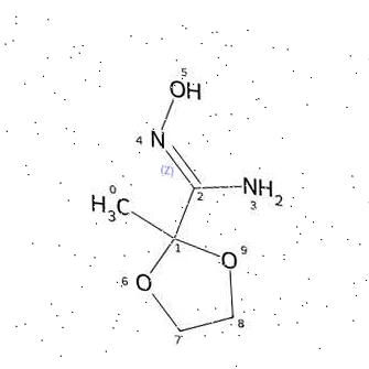 CC1(/C(N)=N/O)OCCO1